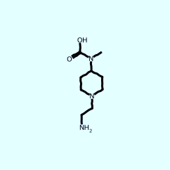 CN(C(=O)O)C1CCN(CCN)CC1